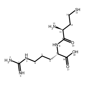 N=C(N)NCCC[C@H](NC(=O)[C@@H](N)CCS)C(=O)O